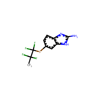 Nc1nc2ccc(SC(F)(F)C(F)(F)C(F)(F)F)cc2[nH]1